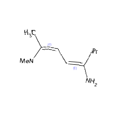 CN/C(C)=C\C=C(\N)C(C)C